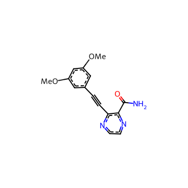 COc1cc(C#Cc2nccnc2C(N)=O)cc(OC)c1